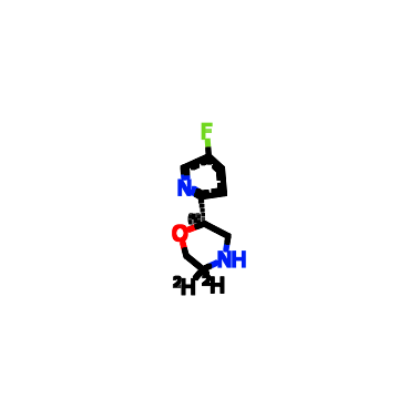 [2H]C1([2H])CO[C@H](c2ccc(F)cn2)CN1